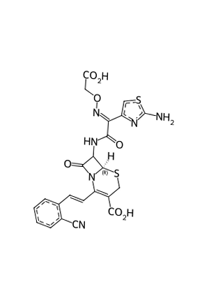 N#Cc1ccccc1C=CC1=C(C(=O)O)CS[C@@H]2C(NC(=O)C(=NOCC(=O)O)c3csc(N)n3)C(=O)N12